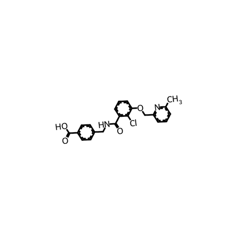 Cc1cccc(COc2cccc(C(=O)NCc3ccc(C(=O)O)cc3)c2Cl)n1